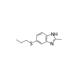 CCCSc1ccc2[nH]c(C)nc2c1